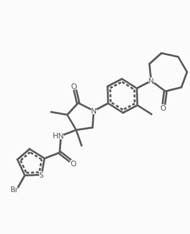 Cc1cc(N2CC(C)(NC(=O)c3ccc(Br)s3)C(C)C2=O)ccc1N1CCCCCC1=O